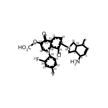 CC1C=CC(N)C2CN(c3ccc4c(=O)c(OC(=O)O)cn(-c5ccc(F)cc5F)c4c3Cl)CC12